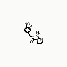 CC1=NC[C]CN1C(=O)OCc1ccc([N+](=O)[O-])cc1